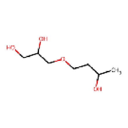 CC(O)CCOCC(O)CO